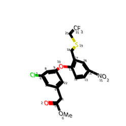 COC(=O)Cc1cc(Cl)cc(Oc2ccc([N+](=O)[O-])cc2CSCC(F)(F)F)c1